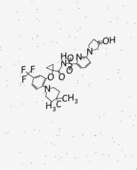 CC1(C)CCN(c2ccc(C(F)(F)F)cc2OC2(C(=O)NS(=O)(=O)c3cccc(N4CC[C@H](O)C4)n3)CC2)CC1